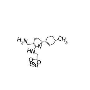 CC1CC=C(c2ccc(CN)c(NCC(=O)OC(C)(C)C)n2)CC1